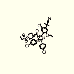 CCOc1cc(C(C)(C)C#N)c(Cl)cc1C1=N[C@@H](C2C=CC(Cl)=CC2)[C@@H](c2ccc(Cl)cc2)N1C(=O)N1CCN(S(=O)(=O)CC)CC1